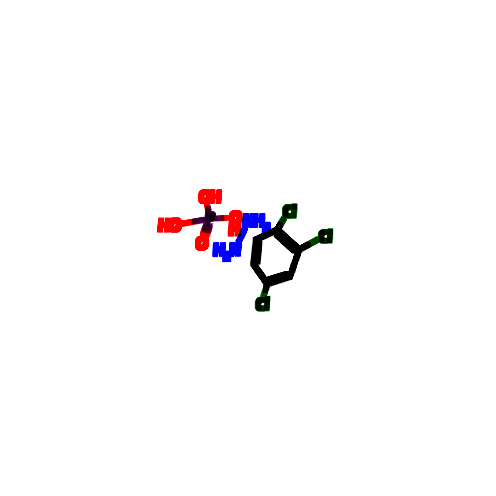 Clc1ccc(Cl)c(Cl)c1.NN.O=P(O)(O)O